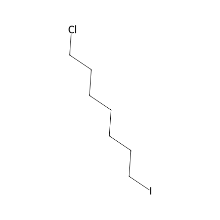 ClCCCCCCCI